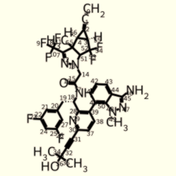 C=C=C1[C@@H]2[C@H]1C1(C)C(C(F)(F)F)=NN(CC(=O)N[C@@H](Cc3cc(F)cc(F)c3)c3nc(C#CC(C)(C)O)ccc3-c3cccc4c(N)nn(C)c34)C1C2(F)F